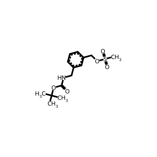 CC(C)(C)OC(=O)NCc1cccc(COS(C)(=O)=O)c1